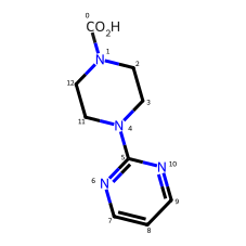 O=C(O)N1CCN(c2ncccn2)CC1